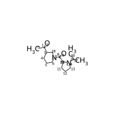 CC(=O)C1CCCN(C(=O)[C@@H]2CCCN2C(C)C)C1